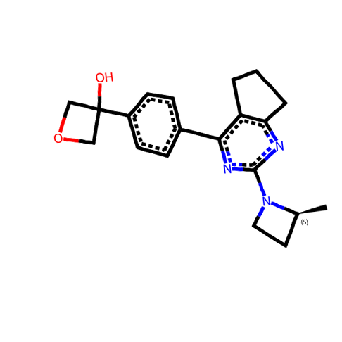 C[C@H]1CCN1c1nc2c(c(-c3ccc(C4(O)COC4)cc3)n1)CCC2